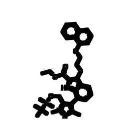 CCOC(=O)c1[nH]c2c(-c3c(C)nn(C)c3CO[Si](C)(C)C(C)(C)C)cccc2c1CCCOc1cccc2ccccc12